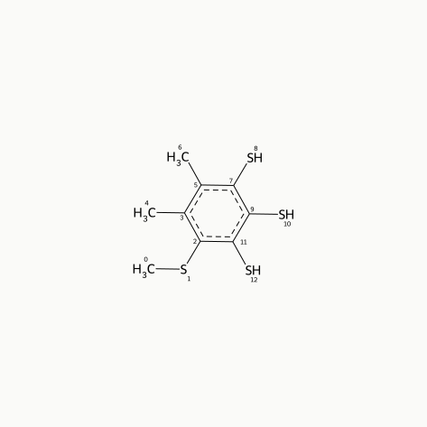 CSc1c(C)c(C)c(S)c(S)c1S